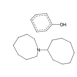 C1CCCC(N2CCCCCCC2)CCC1.Oc1ccccc1